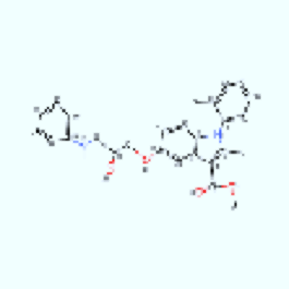 COC(=O)c1c(C)n(-c2ccccc2C)c2ccc(OC[C@@H](O)CNc3ccccc3)cc12